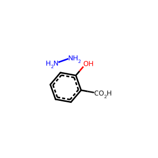 NN.O=C(O)c1ccccc1O